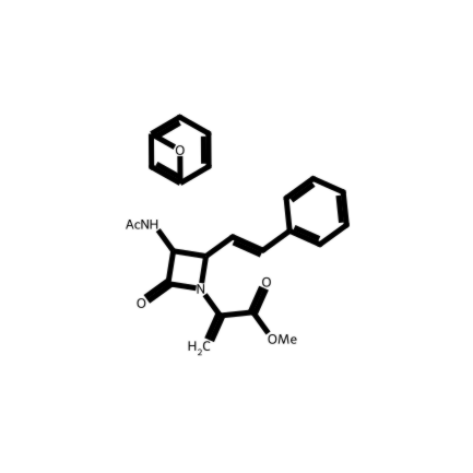 C=C(C(=O)OC)N1C(=O)C(NC(C)=O)C1C=Cc1ccccc1.c1cc2cc(c1)O2